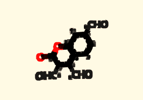 O=Cc1ccc2c(C=O)c(C=O)c(=O)oc2c1